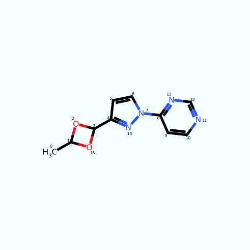 CC1OC(c2ccn(-c3ccncn3)n2)O1